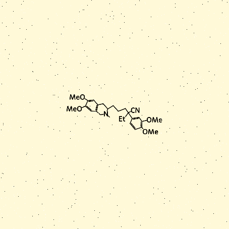 CCC(C#N)(CCCC1Cc2cc(OC)c(OC)cc2CN1C)c1ccc(OC)c(OC)c1